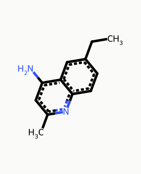 CCc1ccc2nc(C)cc(N)c2c1